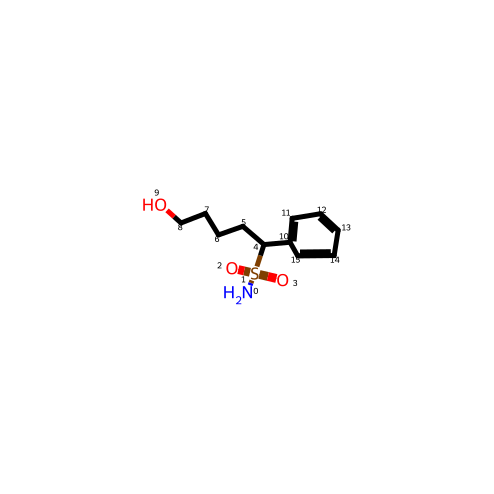 NS(=O)(=O)C(CCCCO)c1ccccc1